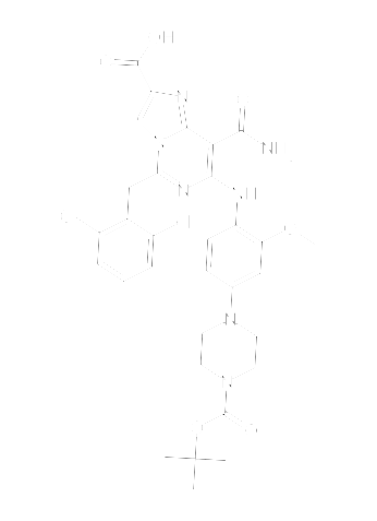 COc1cc(N2CCN(C(=O)OC(C)(C)C)CC2)ccc1Nc1nc(Cc2c(Cl)cccc2Cl)n2cc(C(=O)O)nc2c1C(N)=O